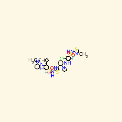 Cc1csc(NS(=O)(=O)c2cc(Cl)c(N[C@H]3CCCC(c4csc(NS(=O)(=O)c5cc(C6CCC6)c(N[C@H]6CCCC[C@@H]6N(C)C)cc5F)n4)[C@@H]3N3CCCC3)cc2F)n1